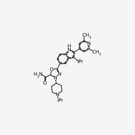 Cc1cc(-c2[nH]c3ccc(C4=NN(C5CCN(C(C)C)CC5)C(C(N)=O)O4)cc3c2C(C)C)cc(C)n1